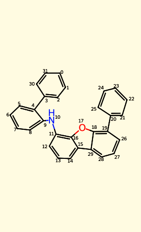 c1ccc(-c2ccccc2Nc2cccc3c2oc2c(-c4ccccc4)cccc23)cc1